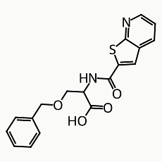 O=C(NC(COCc1ccccc1)C(=O)O)c1cc2cccnc2s1